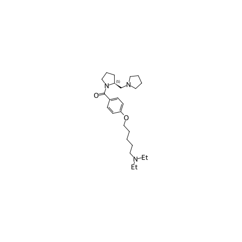 CCN(CC)CCCCCOc1ccc(C(=O)N2CCC[C@H]2CN2CCCC2)cc1